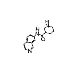 O=C(Nc1ccc2ccncc2c1)C1CCCNC1